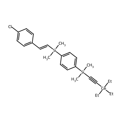 C[CH2][Ge]([C]#C[Si](C)(C)c1ccc([Si](C)(C)C=Cc2ccc(Cl)cc2)cc1)([CH2]C)[CH2]C